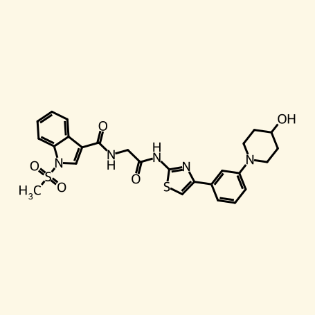 CS(=O)(=O)n1cc(C(=O)NCC(=O)Nc2nc(-c3cccc(N4CCC(O)CC4)c3)cs2)c2ccccc21